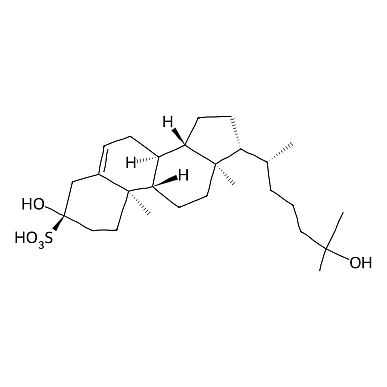 C[C@H](CCCC(C)(C)O)[C@H]1CC[C@H]2[C@@H]3CC=C4C[C@](O)(S(=O)(=O)O)CC[C@]4(C)[C@H]3CC[C@]12C